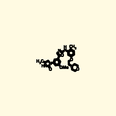 COc1cc(-c2cnc(Nc3cc(OCCN4CCOCC4)ccc3C)o2)cc(N2CC(C)NC2=O)c1